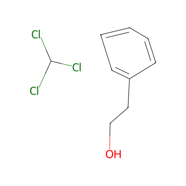 ClC(Cl)Cl.OCCc1ccccc1